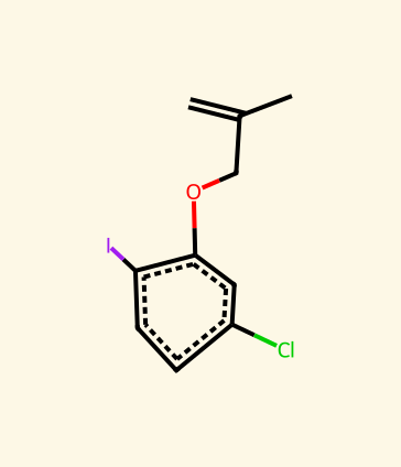 C=C(C)COc1cc(Cl)ccc1I